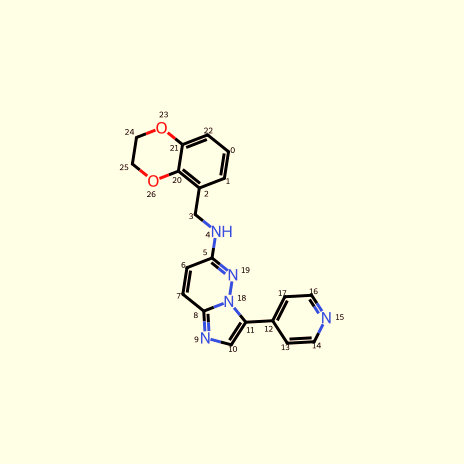 c1cc(CNc2ccc3ncc(-c4ccncc4)n3n2)c2c(c1)OCCO2